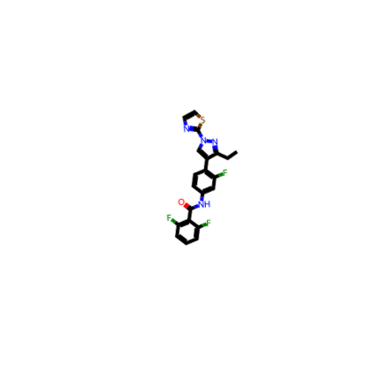 CCc1nn(-c2nccs2)cc1-c1ccc(NC(=O)c2c(F)cccc2F)cc1F